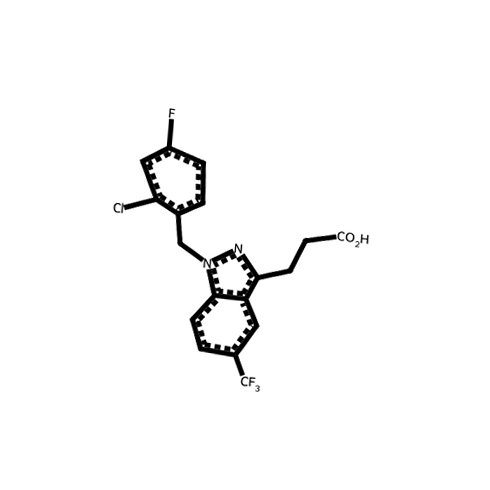 O=C(O)CCc1nn(Cc2ccc(F)cc2Cl)c2ccc(C(F)(F)F)cc12